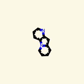 c1ccn2c(c1)cc1ncccc12